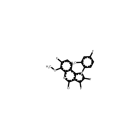 COc1c(F)ccc2c1nc(Cl)c1c(F)c(F)n(-c3ccc(F)cc3C)c12